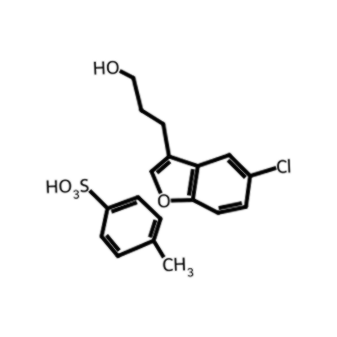 Cc1ccc(S(=O)(=O)O)cc1.OCCCc1coc2ccc(Cl)cc12